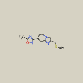 CCCSCc1cn2ccc(-c3noc(C(F)(F)F)n3)cc2n1